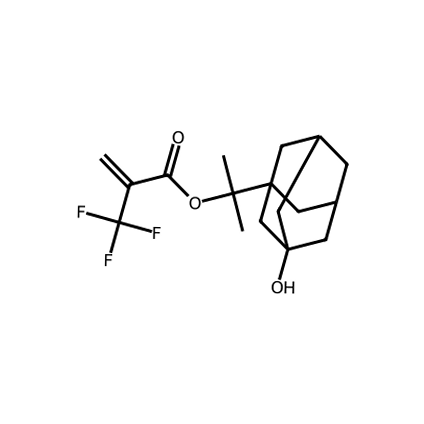 C=C(C(=O)OC(C)(C)C12CC3CC(CC(O)(C3)C1)C2)C(F)(F)F